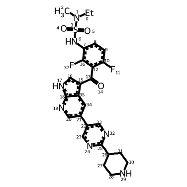 CCN(C)S(=O)(=O)Nc1ccc(F)c(C(=O)c2c[nH]c3ncc(-c4cnc(C5CCNCC5)nc4)cc23)c1F